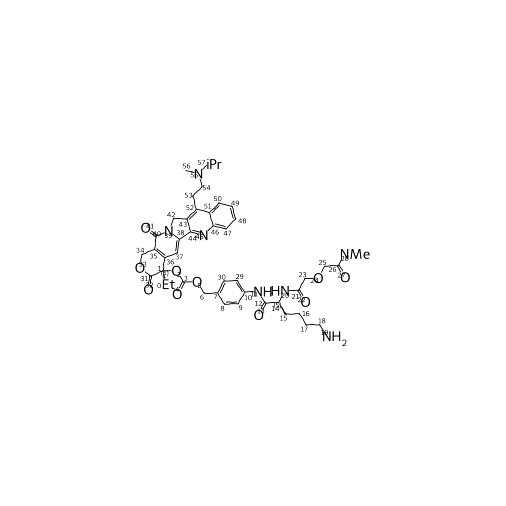 CC[C@@]1(OC(=O)OCc2ccc(NC(=O)[C@H](CCCCN)NC(=O)COCC(=O)NC)cc2)C(=O)OCc2c1cc1n(c2=O)Cc2c-1nc1ccccc1c2CCN(C)C(C)C